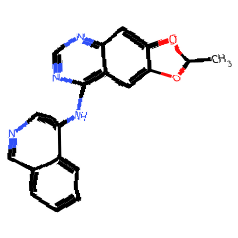 CC1Oc2cc3ncnc(Nc4cncc5ccccc45)c3cc2O1